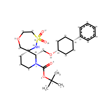 CC(C)(C)OC(=O)N1CCC[C@@]2(COCCS(=O)(=O)N2)[C@@H]1CO[C@H]1CC[C@@H](c2ccccc2)CC1